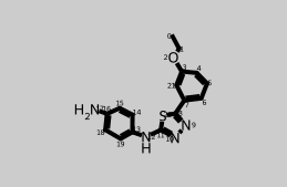 CCOc1cccc(-c2nnc(Nc3ccc(N)cc3)s2)c1